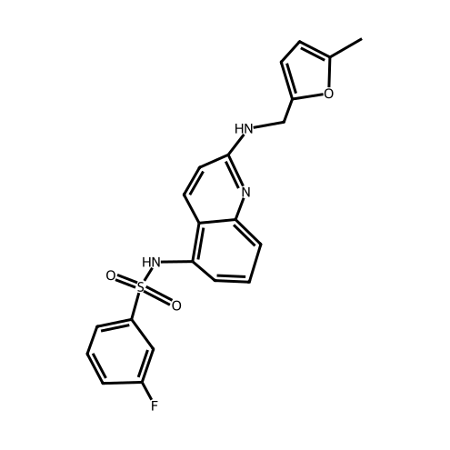 Cc1ccc(CNc2ccc3c(NS(=O)(=O)c4cccc(F)c4)cccc3n2)o1